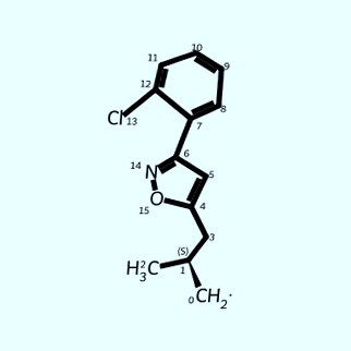 [CH2][C@@H](C)Cc1cc(-c2ccccc2Cl)no1